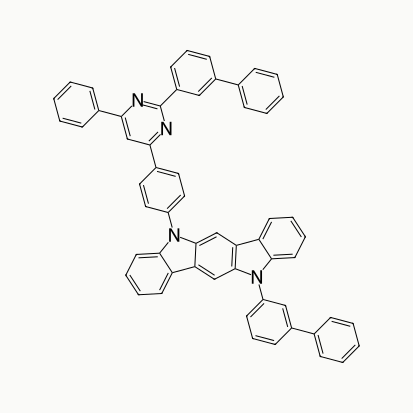 c1ccc(-c2cccc(-c3nc(-c4ccccc4)cc(-c4ccc(-n5c6ccccc6c6cc7c(cc65)c5ccccc5n7-c5cccc(-c6ccccc6)c5)cc4)n3)c2)cc1